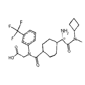 CN(C(=O)[C@@H](N)C1CCC(C(=O)N(CC(=O)O)c2cccc(C(F)(F)F)c2)CC1)C1CCC1